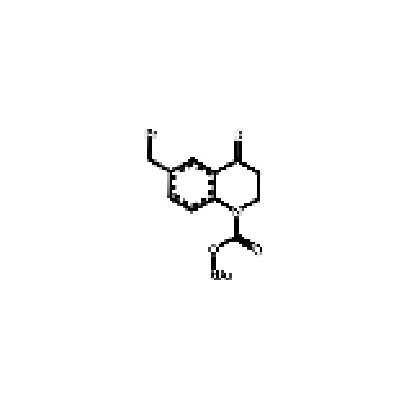 CC(C)(C)OC(=O)N1CCC(=O)c2cc(CBr)ccc21